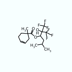 CC(C)CC(OC(=O)C1(C)CC=CCC1)C(O)(C(F)(F)F)C(F)(F)F